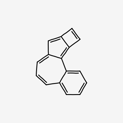 C1=Cc2c1cc1cccc3ccccc3c2-1